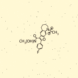 CN(O)C(=O)c1c(-c2ccc(F)cc2)oc2cc3c(cc12)CCCCN3S(C)(=O)=O